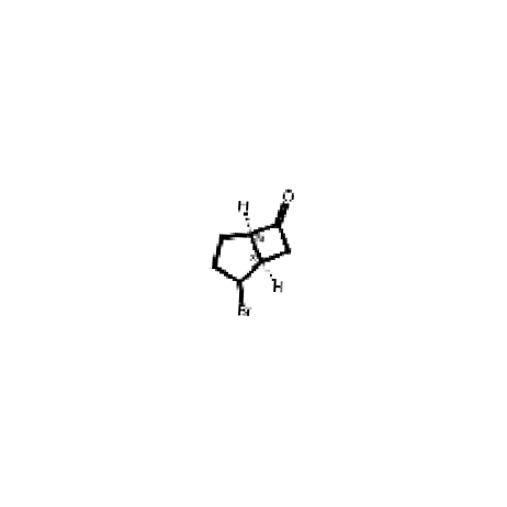 O=C1C[C@H]2C(Br)CC[C@@H]12